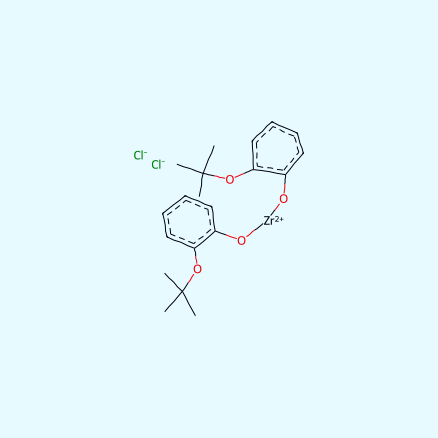 CC(C)(C)Oc1ccccc1[O][Zr+2][O]c1ccccc1OC(C)(C)C.[Cl-].[Cl-]